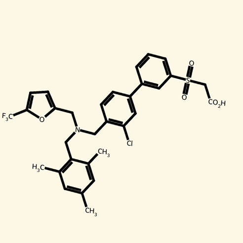 Cc1cc(C)c(CN(Cc2ccc(C(F)(F)F)o2)Cc2ccc(-c3cccc(S(=O)(=O)CC(=O)O)c3)cc2Cl)c(C)c1